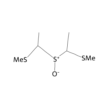 CSC(C)[S+]([O-])C(C)SC